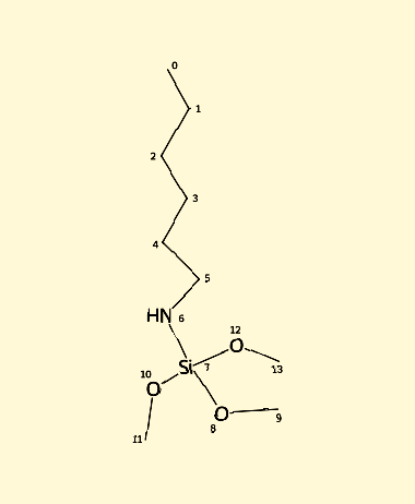 CCCCCCN[Si](OC)(OC)OC